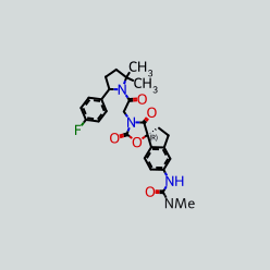 CNC(=O)Nc1ccc2c(c1)CC[C@@]21OC(=O)N(CC(=O)N2C(c3ccc(F)cc3)CCC2(C)C)C1=O